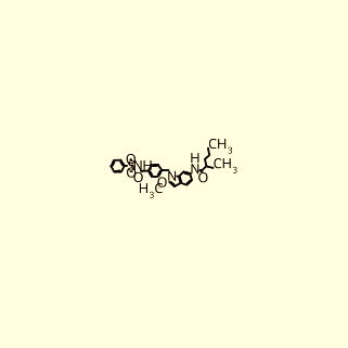 CCCCC(CC)C(=O)Nc1ccc2ccn(Cc3ccc(C(=O)NS(=O)(=O)c4ccccc4)cc3OC)c2c1